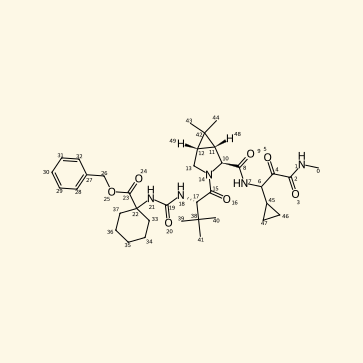 CNC(=O)C(=O)C(NC(=O)[C@@H]1[C@@H]2[C@H](CN1C(=O)[C@@H](NC(=O)NC1(C(=O)OCc3ccccc3)CCCCC1)C(C)(C)C)C2(C)C)C1CC1